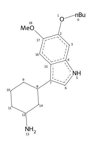 CCCCOc1cc2[nH]cc(C3CCCC(N)C3)c2cc1OC